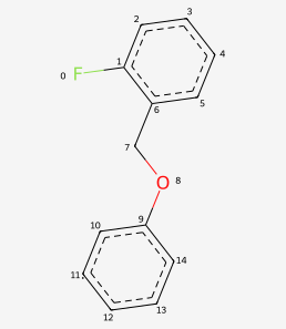 Fc1ccccc1COc1c[c]ccc1